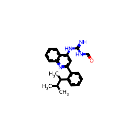 CC(C)C(C)c1ccccc1-c1cc(NC(=N)NC=O)c2ccccc2n1